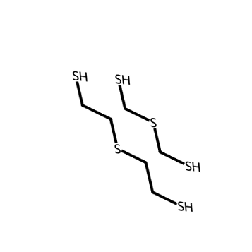 SCCSCCS.SCSCS